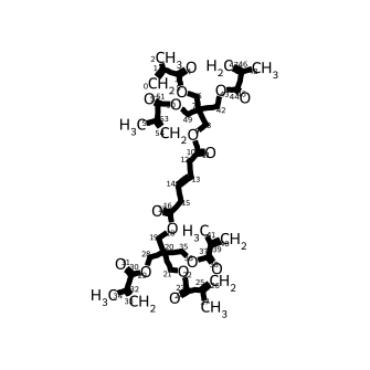 C=C(C)C(=O)OCC(COC(=O)C/C=C/CC(=O)OCC(COC(=O)C(=C)C)(COC(=O)C(=C)C)COC(=O)C(=C)C)(COC(=O)C(=C)C)COC(=O)C(=C)C